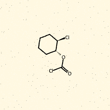 O=C(Cl)O[C@@H]1CCCC[C@H]1Cl